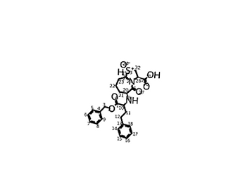 O=C(OCc1ccccc1)C(CCc1ccccc1)N[C@H]1CCC[C@@H]2N(C1=O)[C@H](C(=O)O)C[S@@+]2[O-]